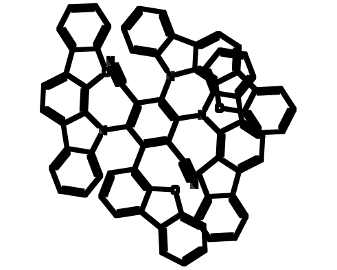 N#Cc1c(-c2cccc3c2oc2ccccc23)c(-n2c3ccccc3c3ccc4c5ccccc5oc4c32)c(C#N)c(-n2c3ccccc3c3ccc4c5ccccc5oc4c32)c1-n1c2ccccc2c2ccc3c(c21)Cc1ccccc1-3